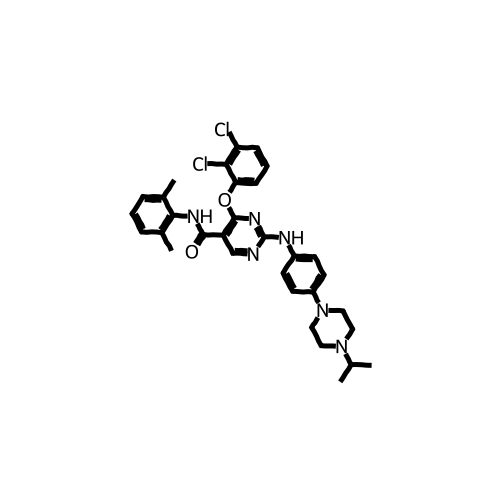 Cc1cccc(C)c1NC(=O)c1cnc(Nc2ccc(N3CCN(C(C)C)CC3)cc2)nc1Oc1cccc(Cl)c1Cl